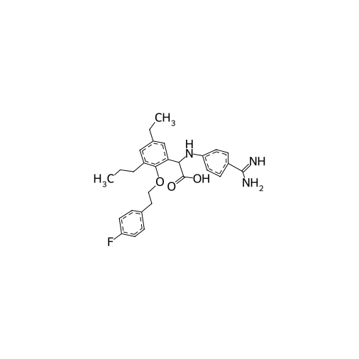 CCCc1cc(CC)cc(C(Nc2ccc(C(=N)N)cc2)C(=O)O)c1OCCc1ccc(F)cc1